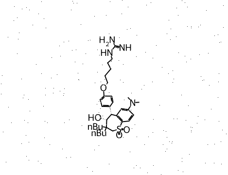 CCCCC1(CCCC)CS(=O)(=O)c2ccc(N(C)C)cc2[C@@H](c2ccc(OCCCCCNC(=N)N)cc2)[C@H]1O